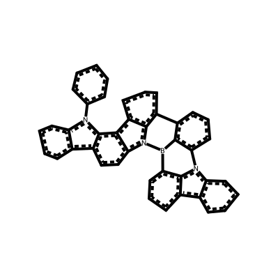 c1ccc(-n2c3ccccc3c3ccc4c(c5cccc6c5n4B4c5c-6cccc5-n5c6ccccc6c6cccc4c65)c32)cc1